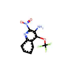 Nc1c([N+](=O)[O-])nc2ccccc2c1OC(F)(F)F